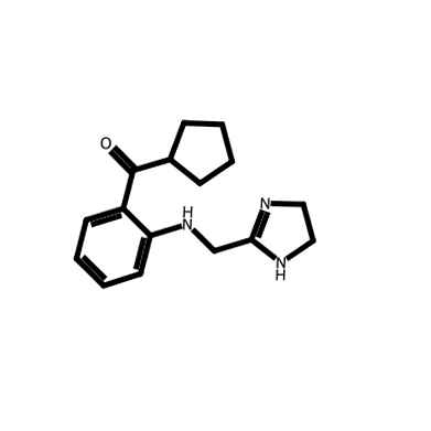 O=C(c1ccccc1NCC1=NCCN1)C1CCCC1